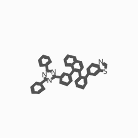 c1ccc(-c2nc(-c3ccccc3)nc(-c3cccc(-c4c(-c5ccccc5-c5ccc6ncsc6c5)ccc5ccccc45)c3)n2)cc1